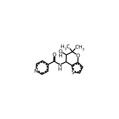 CC1(C)Oc2ccsc2C(NC(=O)c2ccncc2)C1O